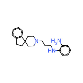 Nc1ccccc1NCCCN1CCC2(CCc3ccccc32)CC1